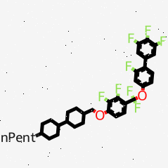 CCCCCC1CCC(C2CCC(COc3ccc(C(F)(F)Oc4ccc(-c5cc(F)c(F)c(F)c5)c(F)c4)c(F)c3F)CC2)CC1